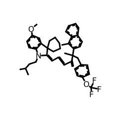 C=C(/C=C/C=C1/N(CCC(C)C)c2ccc(OC)cc2C12CCCCC2)C(C)(Cc1ccc(OC(F)(F)F)cc1)c1ccc2ccccc2c1C